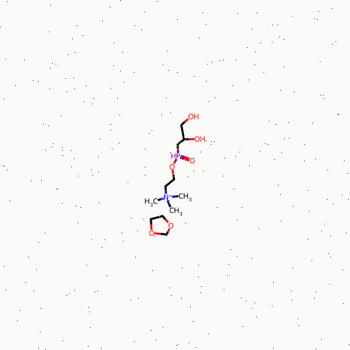 C1COCO1.C[N+](C)(C)CCO[PH](=O)CC(O)CO